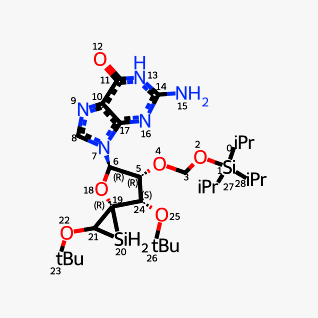 CC(C)[Si](OCO[C@H]1[C@H](n2cnc3c(=O)[nH]c(N)nc32)O[C@@]2([SiH2]C2OC(C)(C)C)[C@H]1OC(C)(C)C)(C(C)C)C(C)C